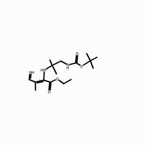 CCOC(=O)/C(NC(C)(C)CNC(=O)OC(C)(C)C)=C(\C)C=N